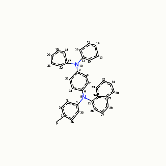 Cc1ccc(N(c2ccc(N(c3ccccc3)c3ccccc3)cc2)c2cccc3ccccc23)cc1